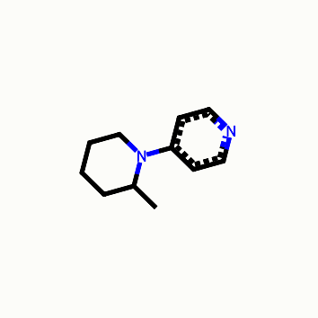 CC1CCCCN1c1ccncc1